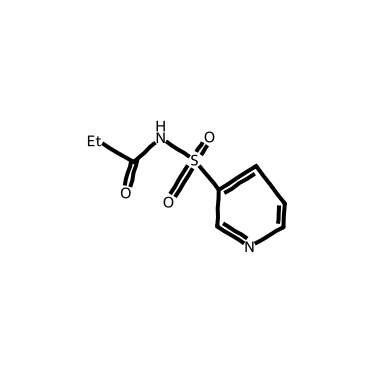 CCC(=O)NS(=O)(=O)c1cccnc1